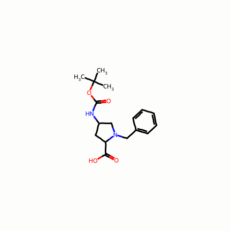 CC(C)(C)OC(=O)NC1CC(C(=O)O)N(Cc2ccccc2)C1